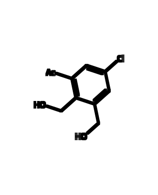 CC(=O)c1cc(Cl)cc(CO)c1CO